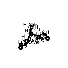 COc1cc2c(cc1OCc1cc(COc3cc4c(cc3OC)C(=O)N3c5ccccc5C[C@H]3C(O)N4)cc(NC(=O)CC(C)(C)S)c1)NC[C@@H]1Cc3ccccc3N1C2=O